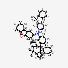 CC1(C)c2ccccc2-c2ccc(N(c3ccc4c(c3)C3(c5ccccc5-4)c4ccccc4C(C)(C)c4ccccc43)c3ccc4oc5ccccc5c4c3)cc21